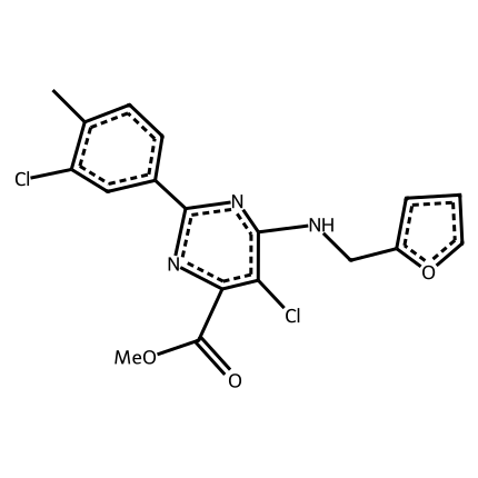 COC(=O)c1nc(-c2ccc(C)c(Cl)c2)nc(NCc2ccco2)c1Cl